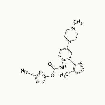 Cc1ccsc1-c1cc(N2CCN(C)CC2)ccc1NC(=O)Oc1ccc(C#N)o1